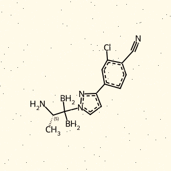 BC(B)([C@H](C)N)n1ccc(-c2ccc(C#N)c(Cl)c2)n1